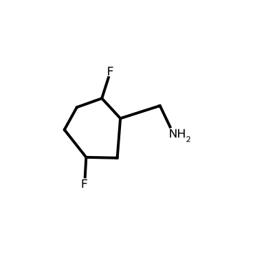 NCC1CC(F)CCC1F